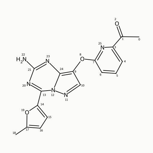 CC(=O)c1cccc(Oc2cnn3c(-c4ccc(C)o4)nc(N)nc23)n1